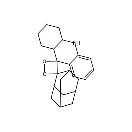 c1ccc2c(c1)NC1CCCCC1C21OOC12C1CC3CC(C1)CC2C3